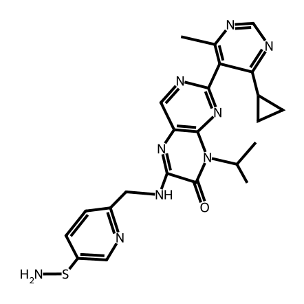 Cc1ncnc(C2CC2)c1-c1ncc2nc(NCc3ccc(SN)cn3)c(=O)n(C(C)C)c2n1